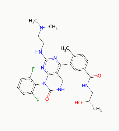 Cc1ccc(C(=O)NC[C@H](C)O)cc1-c1nc(NCCN(C)C)nc2c1CNC(=O)N2c1c(F)cccc1F